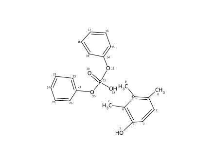 Cc1ccc(O)c(C)c1C.O=P(O)(Oc1ccccc1)Oc1ccccc1